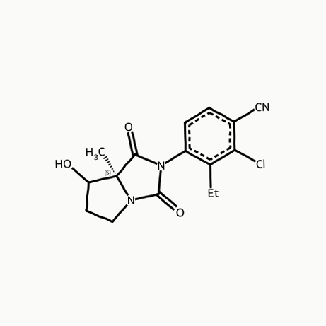 CCc1c(N2C(=O)N3CCC(O)[C@@]3(C)C2=O)ccc(C#N)c1Cl